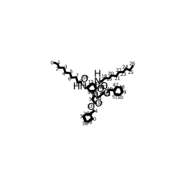 CCCCCCCCCC(=O)Nc1cc(NC(=O)CCCCCCCCC)cc(N(CC(=O)OCc2ccccc2)CC(=O)OCc2ccccc2)c1